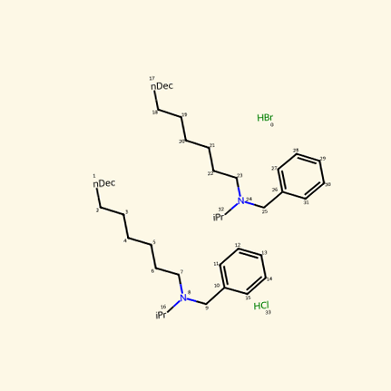 Br.CCCCCCCCCCCCCCCCN(Cc1ccccc1)C(C)C.CCCCCCCCCCCCCCCCN(Cc1ccccc1)C(C)C.Cl